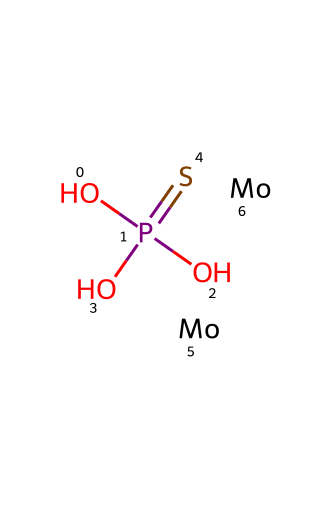 OP(O)(O)=S.[Mo].[Mo]